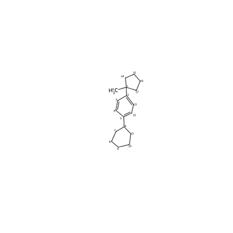 CC1(c2ccc(C3CCCCC3)cc2)CCCC1